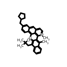 Cc1c2c(c(CC(C)(C)C)c3ccccc13)Oc1c3ccc(CC4CCCC4)cc3cc3cc[n+](C)c-2c13